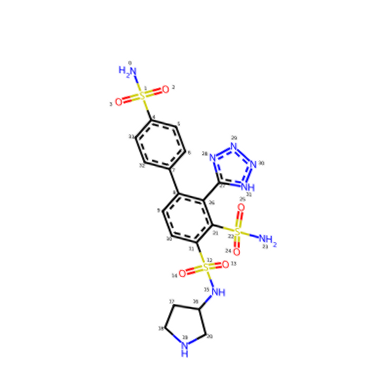 NS(=O)(=O)c1ccc(-c2ccc(S(=O)(=O)NC3CCNC3)c(S(N)(=O)=O)c2-c2nnn[nH]2)cc1